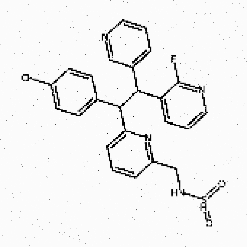 O=[SH](=O)NCc1cccc(C(c2ccc(Cl)cc2)C(c2cccnc2)c2cccnc2F)n1